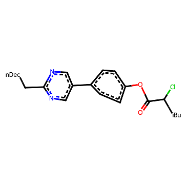 CCCCCCCCCCCc1ncc(-c2ccc(OC(=O)C(Cl)C(C)CC)cc2)cn1